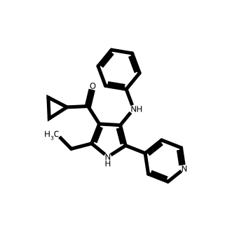 CCc1[nH]c(-c2ccncc2)c(Nc2ccccc2)c1C(=O)C1CC1